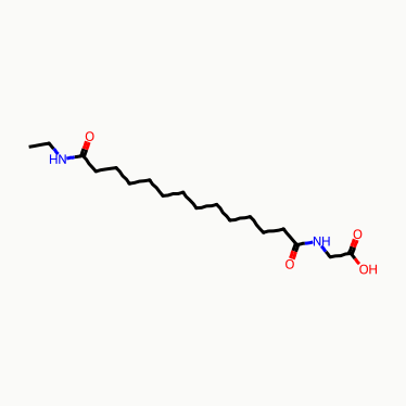 CCNC(=O)CCCCCCCCCCCCC(=O)NCC(=O)O